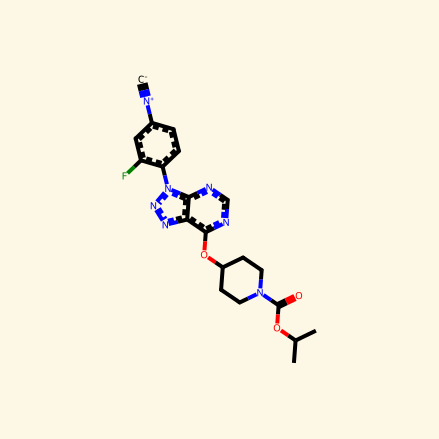 [C-]#[N+]c1ccc(-n2nnc3c(OC4CCN(C(=O)OC(C)C)CC4)ncnc32)c(F)c1